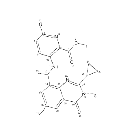 COC(=O)c1nc(Cl)ccc1NC(C)c1cc(C)cc2c(=O)n(C)c(C3CC3)nc12